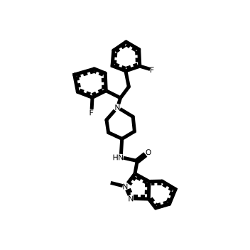 Cn1nc2ccccc2c1C(=O)NC1CCN(C(Cc2ccccc2F)c2ccccc2F)CC1